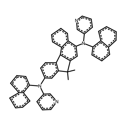 CC1(C)c2cc(N(c3cccnc3)c3cccc4ccccc34)ccc2-c2c1cc(N(c1cccnc1)c1cccc3ccccc13)c1ccccc21